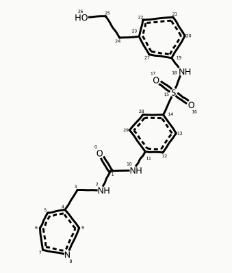 O=C(NCc1cccnc1)Nc1ccc(S(=O)(=O)Nc2cccc(CCO)c2)cc1